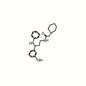 CCCCc1cccc(C(CCNC(=O)CN2CCCCC2)Nc2ccccc2)c1